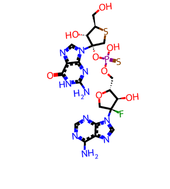 Nc1nc2c(ncn2[C@]2(OP(O)(=S)OC[C@H]3OC[C@@](F)(n4cnc5c(N)ncnc54)[C@@H]3O)CS[C@H](CO)[C@H]2O)c(=O)[nH]1